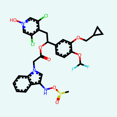 CS(=O)ONc1cn(CC(=O)OC(Cc2c(Cl)c[n+](O)cc2Cl)c2ccc(OC(F)F)c(OCC3CC3)c2)c2ccccc12